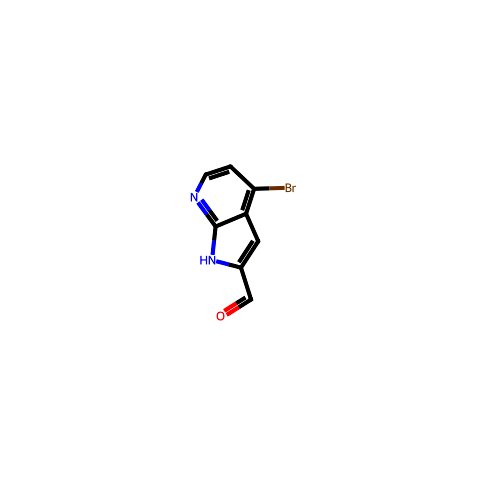 O=Cc1cc2c(Br)ccnc2[nH]1